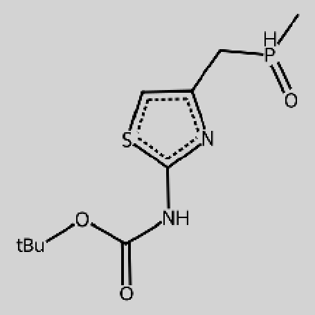 C[PH](=O)Cc1csc(NC(=O)OC(C)(C)C)n1